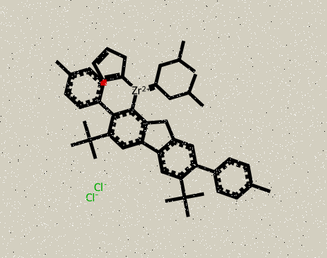 Cc1ccc(-c2cc3c(cc2C(C)(C)C)-c2cc(C(C)(C)C)c(-c4ccc(C)cc4)[c]([Zr+2]([C]4=CC=CC4)=[C](CC(C)C)CC(C)C)c2C3)cc1.[Cl-].[Cl-]